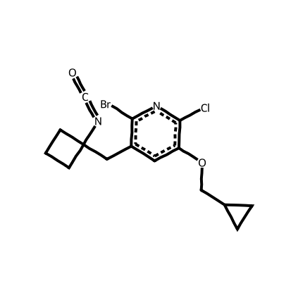 O=C=NC1(Cc2cc(OCC3CC3)c(Cl)nc2Br)CCC1